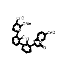 COc1nc(-c2cccc(-c3cccc(-c4cc(=O)n5cc(C=O)ccc5n4)c3Cl)c2Cl)ccc1C=O